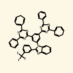 FC(F)(F)c1cccc(-c2nc3ccccc3n2-c2cc(-c3nc(C4=CC=CCC=C4)nc(-c4ccccc4)n3)cc(-c3nc(C4=CC=CCC=C4)nc(-c4ccccc4)n3)c2)c1